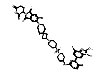 Cc1nc2c(F)cc(-c3nc(NC4CCN(S(=O)(=O)C5CCN(C6CC7(CCN(c8cc9c(cc8F)C(=O)N(C8CCC(=O)NC8=O)C9=O)CC7)C6)CC5)CC4)ncc3F)cc2n1C(C)C